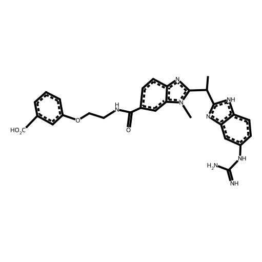 CC(c1nc2cc(NC(=N)N)ccc2[nH]1)c1nc2ccc(C(=O)NCCOc3cccc(C(=O)O)c3)cc2n1C